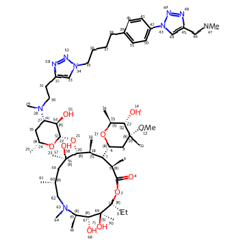 CC[C@H]1OC(=O)[C@H](C)C([C@H]2C[C@@](C)(OC)[C@@H](O)[C@H](C)O2)[C@H](C)[C@@H](O[C@@H]2O[C@H](C)C[C@H](N(C)CCc3cn(CCCCc4ccc(-n5cc(CNC)nn5)cc4)nn3)[C@H]2O)[C@](C)(O)C[C@@H](C)CN(C)[C@H](C)[C@@H](O)[C@]1(C)O